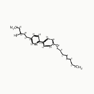 CCCCCCCCOc1ccc(-c2ccc(CCC(F)CC)cn2)cc1